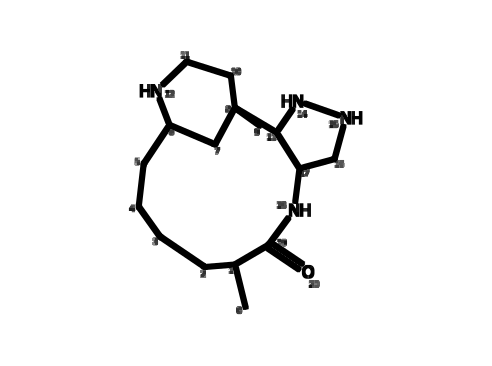 CC1CCCCC2CC(C)(CCN2)C2NNCC2NC1=O